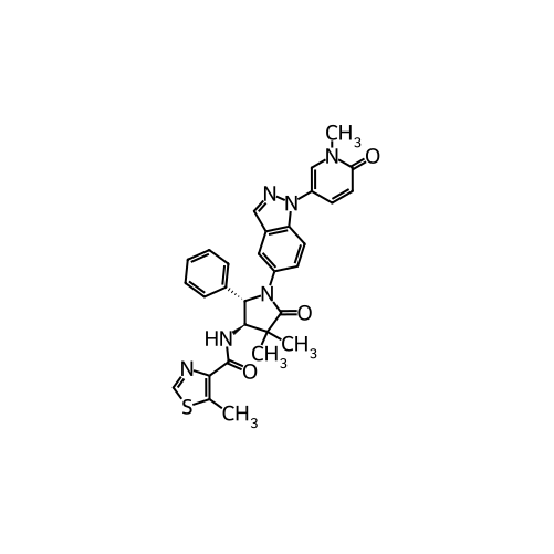 Cc1scnc1C(=O)N[C@H]1[C@H](c2ccccc2)N(c2ccc3c(cnn3-c3ccc(=O)n(C)c3)c2)C(=O)C1(C)C